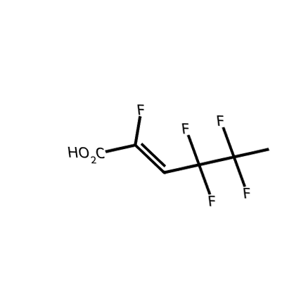 CC(F)(F)C(F)(F)/C=C(\F)C(=O)O